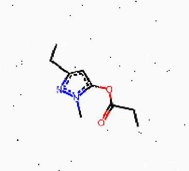 CCC(=O)Oc1cc(CC)nn1C